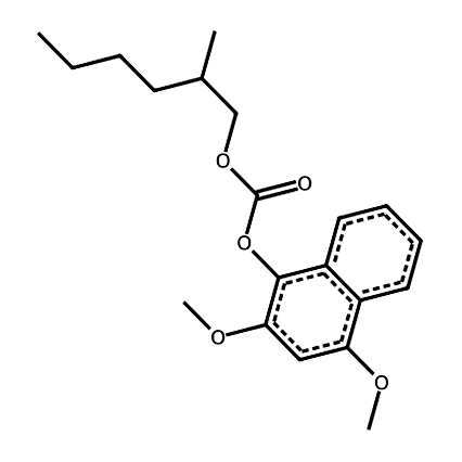 CCCCC(C)COC(=O)Oc1c(OC)cc(OC)c2ccccc12